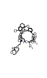 CO[C@@]1(C#CCCN2CCN3CCOC[C@@H]3C2)/C=C/C[C@H](C)[C@@H](C)S(=O)(=O)NC(=O)c2ccc3c(c2)N(C[C@@H]2CC[C@H]21)C[C@@]1(CCCc2cc(Cl)ccc21)CO3